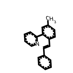 Cc1ccc(C=Cc2ccccc2)c(-c2ccccn2)c1